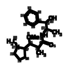 COC(C(C)C(=O)N[C@H](C)C(O)c1ccccc1)C1CCCN1C